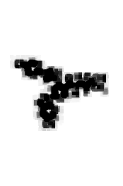 CC(C)(O)C(F)CNC(=O)c1cnc(-n2ncc3cc(C#N)cnc32)cc1NC1CN(c2ncc(Cl)cn2)C1